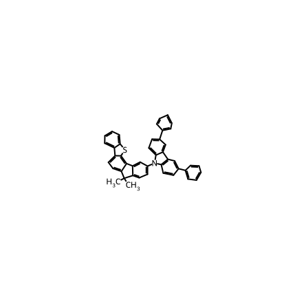 CC1(C)c2ccc(-n3c4ccc(-c5ccccc5)cc4c4cc(-c5ccccc5)ccc43)cc2-c2c1ccc1c2sc2ccccc21